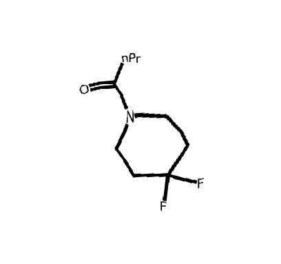 CCCC(=O)N1CCC(F)(F)CC1